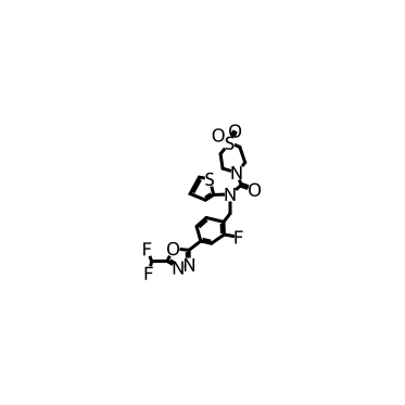 O=C(N1CCS(=O)(=O)CC1)N(Cc1ccc(-c2nnc(C(F)F)o2)cc1F)c1cccs1